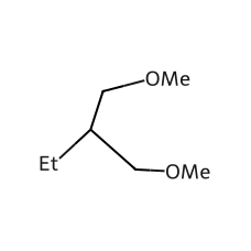 CCC(COC)COC